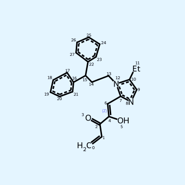 C=CC(=O)/C(O)=C/c1ncc(CC)n1CCC(c1ccccc1)c1ccccc1